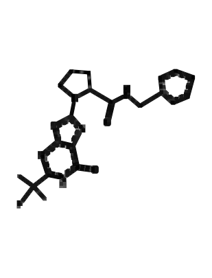 CC(C)(F)c1nc2sc(N3CCCC3C(=O)NCc3ccccc3)nc2c(=O)[nH]1